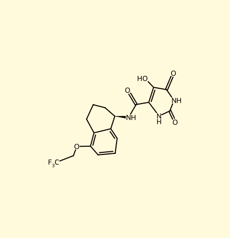 O=C(N[C@@H]1CCCc2c(OCC(F)(F)F)cccc21)c1[nH]c(=O)[nH]c(=O)c1O